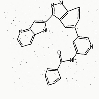 O=C(Nc1cncc(-c2ccc3[nH]nc(-c4cc5ncccc5[nH]4)c3c2)c1)c1ccccc1